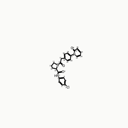 O=C(Nc1ccc(Cl)cc1)C1CCCN1C(=O)Cc1ccc(-n2ccccc2=O)cc1